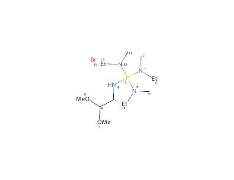 CCN(C)[P+](NCC(OC)OC)(N(C)CC)N(C)CC.[Br-]